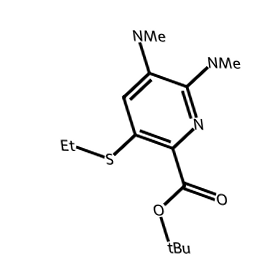 CCSc1cc(NC)c(NC)nc1C(=O)OC(C)(C)C